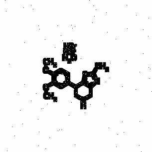 Br.Br.COc1ccc(C2CNCc3nc(N)sc32)cc1OC.O